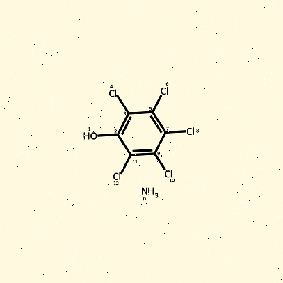 N.Oc1c(Cl)c(Cl)c(Cl)c(Cl)c1Cl